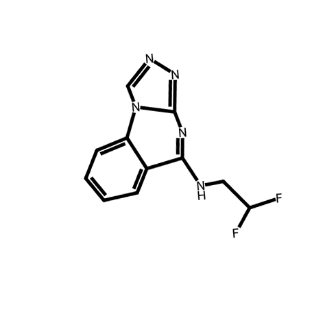 FC(F)CNc1nc2nncn2c2ccccc12